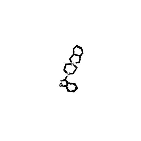 C1=CCC2C[N+]3(CCN(c4nsc5ccccc45)CC3)CC2C1